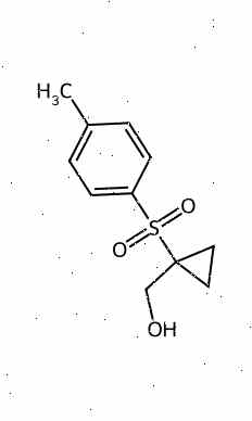 Cc1ccc(S(=O)(=O)C2(CO)CC2)cc1